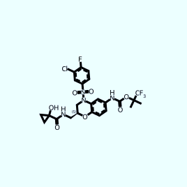 CC(C)(OC(=O)Nc1ccc2c(c1)N(S(=O)(=O)c1ccc(F)c(Cl)c1)C[C@H](CNC(=O)C1(O)CC1)O2)C(F)(F)F